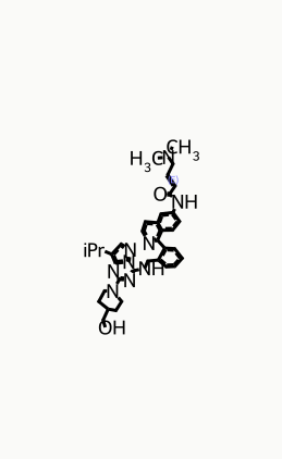 CC(C)c1cnn2c(NCc3ccccc3-c3nccc4cc(NC(=O)/C=C/CN(C)C)ccc34)nc(N3CCC(CO)CC3)nc12